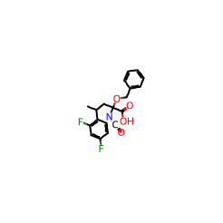 CC(CC(N=C=O)(OCc1ccccc1)C(=O)O)c1ccc(F)cc1F